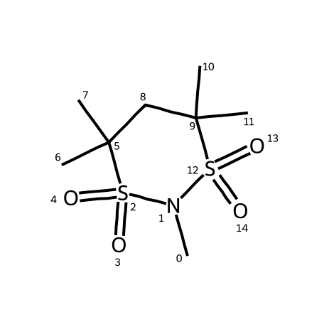 CN1S(=O)(=O)C(C)(C)CC(C)(C)S1(=O)=O